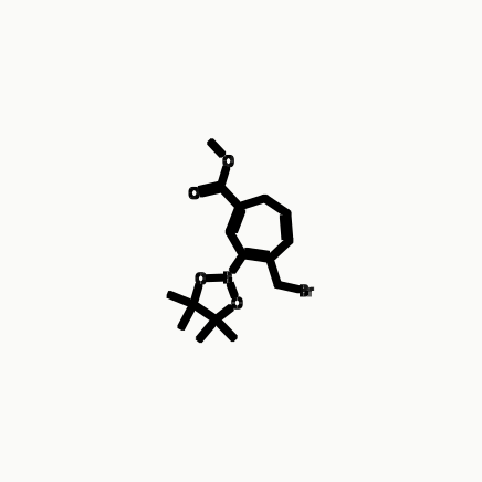 COC(=O)C1=CC(B2OC(C)(C)C(C)(C)O2)=C(CBr)C=CC1